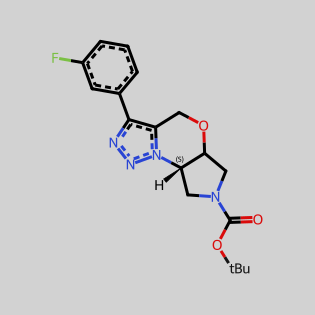 CC(C)(C)OC(=O)N1CC2OCc3c(-c4cccc(F)c4)nnn3[C@H]2C1